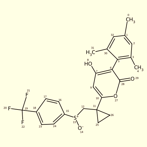 Cc1cc(C)c(-c2c(O)cc(C3(C[S+]([O-])c4ccc(C(F)(F)F)cc4)CC3)oc2=O)c(C)c1